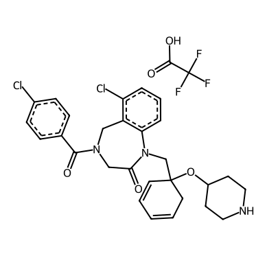 O=C(O)C(F)(F)F.O=C(c1ccc(Cl)cc1)N1CC(=O)N(CC2(OC3CCNCC3)C=CC=CC2)c2cccc(Cl)c2C1